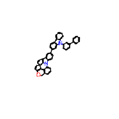 C1=Cc2c3n(c4ccc(-c5ccc6c7ccccc7n(-c7cccc(-c8ccccc8)c7)c6c5)cc24)-c2cccc4c2C2=C(C=CC23C1)OC4